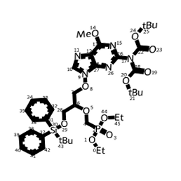 CCOP(=O)(COC(COn1cnc2c(OC)nc(N(C(=O)OC(C)(C)C)C(=O)OC(C)(C)C)nc21)CO[Si](c1ccccc1)(c1ccccc1)C(C)(C)C)OCC